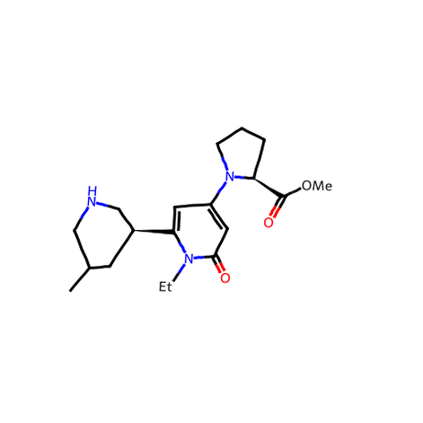 CCn1c([C@@H]2CNCC(C)C2)cc(N2CCC[C@H]2C(=O)OC)cc1=O